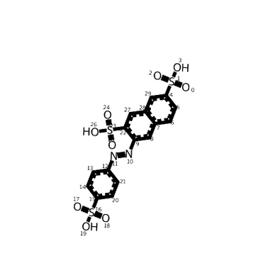 O=S(=O)(O)c1[c]cc2cc(N=Nc3ccc(S(=O)(=O)O)cc3)c(S(=O)(=O)O)cc2c1